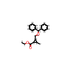 CCOC(=O)C1C(C)C1COC(c1ccccc1)c1ccccc1